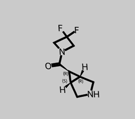 O=C([C@H]1[C@@H]2CNC[C@@H]21)N1CC(F)(F)C1